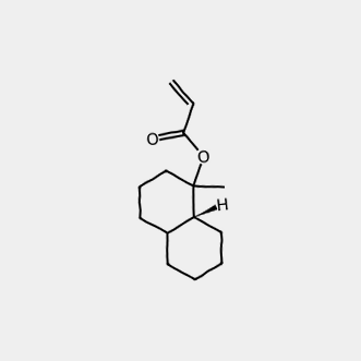 C=CC(=O)OC1(C)CCCC2CCCC[C@H]21